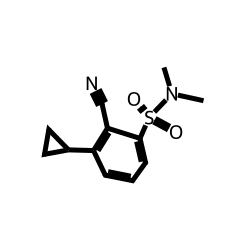 CN(C)S(=O)(=O)c1cccc(C2CC2)c1C#N